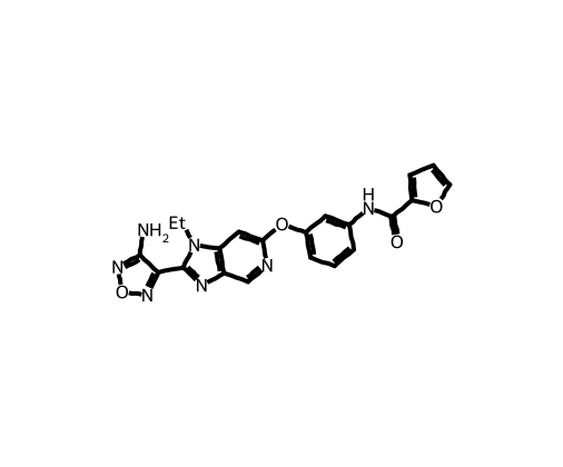 CCn1c(-c2nonc2N)nc2cnc(Oc3cccc(NC(=O)c4ccco4)c3)cc21